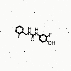 Cc1ccccc1CNC(=O)Nc1ccc(O)c(F)c1